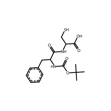 CC(C)(C)OC(=O)NC(Cc1ccccc1)C(=O)NC(CS)C(=O)O